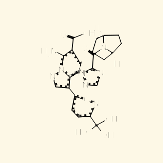 CC(=O)c1c([C@@H]2C[C@H]3CC[C@@H](C2)N3C(=O)c2ncn[nH]2)nc2c(-c3ccc(C(C)(C)O)nc3)cnn2c1N